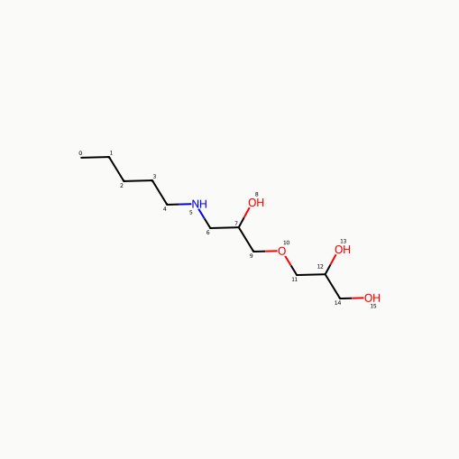 CCCCCNCC(O)COCC(O)CO